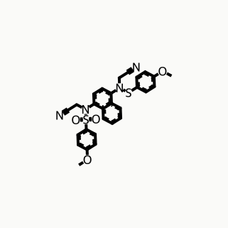 COc1ccc(SN(CC#N)c2ccc(N(CC#N)S(=O)(=O)c3ccc(OC)cc3)c3ccccc23)cc1